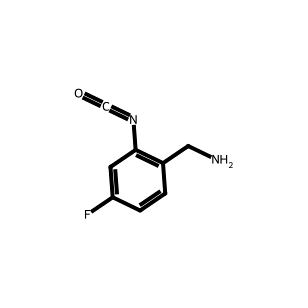 NCc1ccc(F)cc1N=C=O